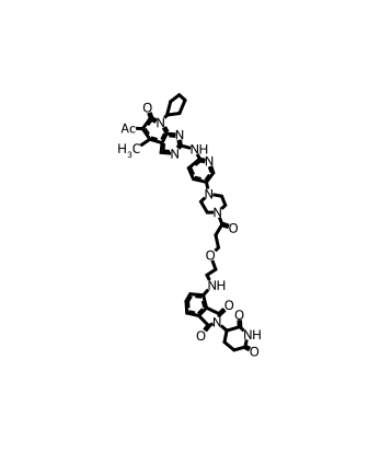 CC(=O)c1c(C)c2cnc(Nc3ccc(N4CCN(C(=O)CCOCCNc5cccc6c5C(=O)N(C5CCC(=O)NC5=O)C6=O)CC4)cn3)nc2n(C2CCCC2)c1=O